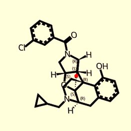 O=C(c1cccc(Cl)c1)N1C[C@H]2O[C@@]34CC[C@@H]1[C@@H]2[C@@]31CCN(CC2CC2)[C@@H]4Cc2cccc(O)c21